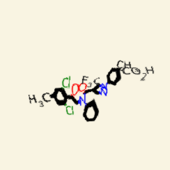 Cc1cc(Cl)c(C(=O)CN(C(=O)c2cnn([C@H]3CC[C@](C)(C(=O)O)CC3)c2C(F)(F)F)C2CCCCC2)c(Cl)c1